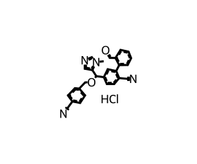 Cl.Cn1cncc1C(OCc1ccc(C#N)cc1)c1ccc(C#N)c(-c2ccccc2C=O)c1